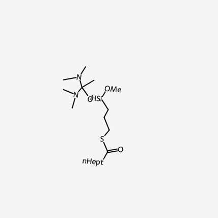 CCCCCCCC(=O)SCCC[SiH](OC)OC(C)(N(C)C)N(C)C